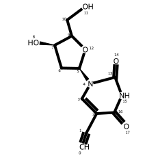 C#Cc1cn([C@H]2C[C@@H](O)C(CO)O2)c(=O)[nH]c1=O